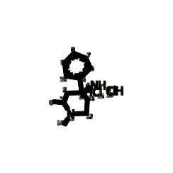 CC1CC(N)(c2ccccc2)CCN1C.Cl.Cl